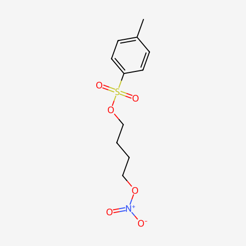 Cc1ccc(S(=O)(=O)OCCCCO[N+](=O)[O-])cc1